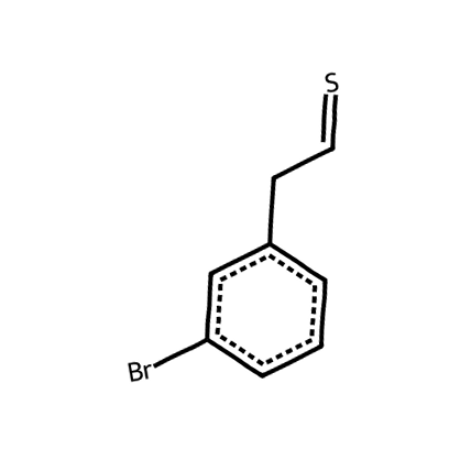 S=CCc1cccc(Br)c1